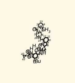 COc1c(NC(=O)Oc2cc3cccc(CN4CCN(C(=O)[C@@H]5CCCN5C)CC4)c3n2C)cc(C(C)(C)C)cc1NS(=O)(=O)C1CC1